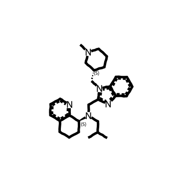 CC(C)CN(Cc1nc2ccccc2n1C[C@H]1CCCN(C)C1)[C@H]1CCCc2cccnc21